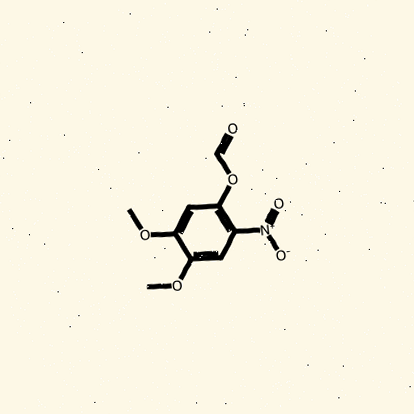 COc1cc(OC=O)c([N+](=O)[O-])cc1OC